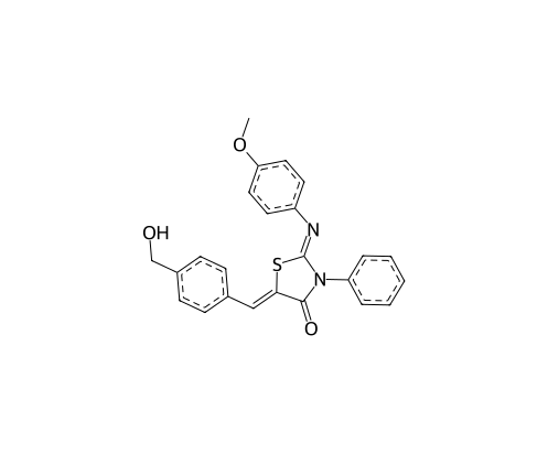 COc1ccc(/N=C2\S/C(=C\c3ccc(CO)cc3)C(=O)N2c2ccccc2)cc1